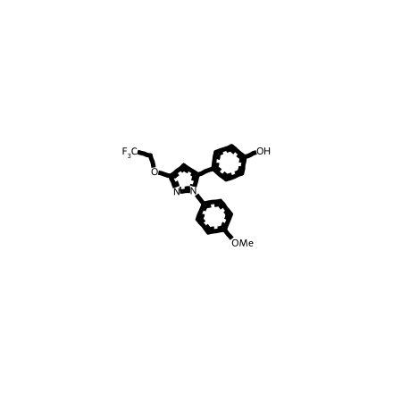 COc1ccc(-n2nc(OCC(F)(F)F)cc2-c2ccc(O)cc2)cc1